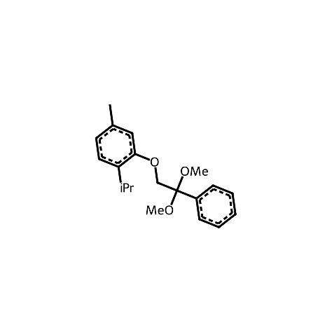 COC(COc1cc(C)ccc1C(C)C)(OC)c1ccccc1